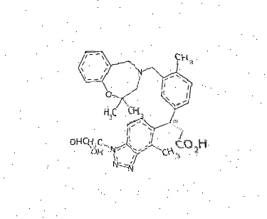 Cc1ccc([C@H](CC(=O)O)c2ccc3c(nnn3C)c2C)cc1CN1Cc2ccccc2OC(C)(C)C1.O=CO